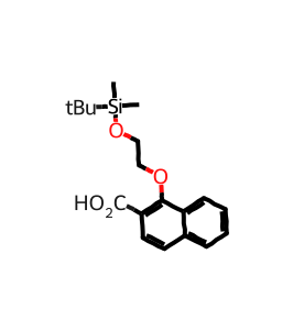 CC(C)(C)[Si](C)(C)OCCOc1c(C(=O)O)ccc2ccccc12